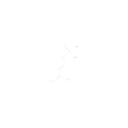 C=C(C)C=COP(=O)(O)O